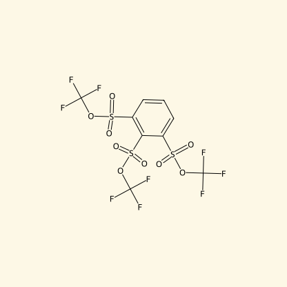 O=S(=O)(OC(F)(F)F)c1cccc(S(=O)(=O)OC(F)(F)F)c1S(=O)(=O)OC(F)(F)F